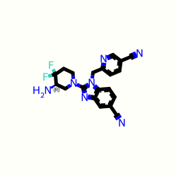 N#Cc1ccc(Cn2c(N3CCC(F)(F)[C@H](N)C3)nc3cc(C#N)ccc32)nc1